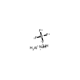 F[B-](F)(F)F.[AlH3].[LiH].[NaH]